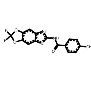 Cc1ccc(C(=O)Nc2nc3cc4c(cc3[nH]2)OC(F)(F)O4)cc1